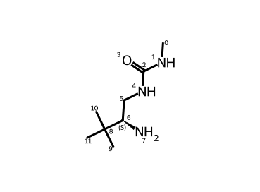 CNC(=O)NC[C@@H](N)C(C)(C)C